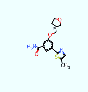 Cc1cnc(-c2cc(OC[C@@H]3CCOC3)cc(C(N)=O)c2)s1